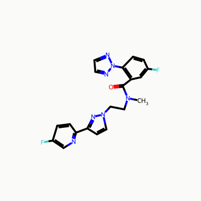 CN(CCn1ccc(-c2ccc(F)cn2)n1)C(=O)c1cc(F)ccc1-n1nccn1